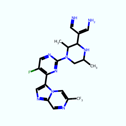 CC1CN(c2ncc(F)c(-c3cnc4cnc(C(F)(F)F)cn34)n2)C(C)C(/C(C=N)=C/N)N1